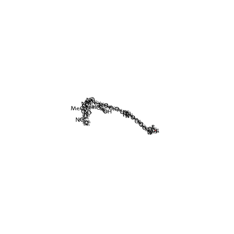 COc1cnc(-n2cnc(C(=O)NCCCN(CCOCCOCCOCCOCc3cn(CCOCCOCCOCCOCCC(=O)Oc4c(F)cc(F)cc4F)nn3)C(=O)C3CC(O)C3)n2)c2[nH]cc(C(=O)C(=O)N3CCC(=C(C#N)c4ccccc4)CC3)c12